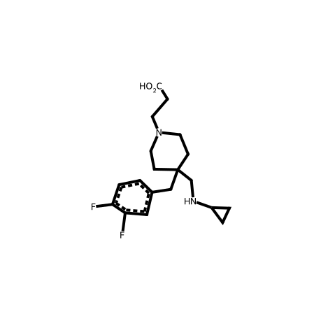 O=C(O)CCN1CCC(CNC2CC2)(Cc2ccc(F)c(F)c2)CC1